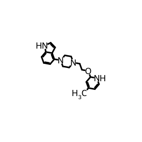 CC1=CC(OCCN2CCN(c3cccc4[nH]ccc34)CC2)NC=C1